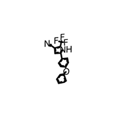 N#Cc1cc(-c2ccc(Oc3ccccc3)cc2)[nH]c1C(F)(F)F